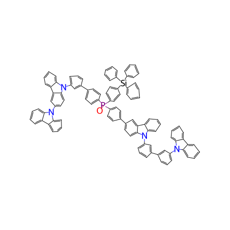 O=P(c1ccc(-c2cccc(-n3c4ccccc4c4cc(-n5c6ccccc6c6ccccc65)ccc43)c2)cc1)(c1ccc(-c2ccc3c(c2)c2ccccc2n3-c2cccc(-c3cccc(-n4c5ccccc5c5ccccc54)c3)c2)cc1)c1ccc([Si](c2ccccc2)(c2ccccc2)c2ccccc2)cc1